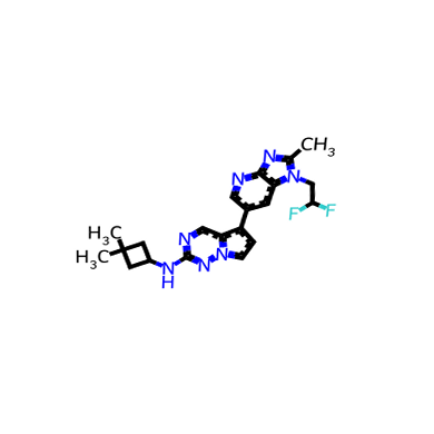 Cc1nc2ncc(-c3ccn4nc(NC5CC(C)(C)C5)ncc34)cc2n1CC(F)F